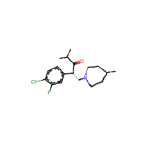 CC1CCN(C[C@@H](C(=O)C(C)C)c2ccc(Cl)c(F)c2)CC1